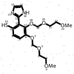 COCCOCOc1ccc(S)c(-c2ncc[nH]2)c1OCOCCOC